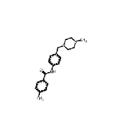 Cc1ccc(C(=O)Nc2ccc(CN3CCN(C)CC3)cc2)cc1